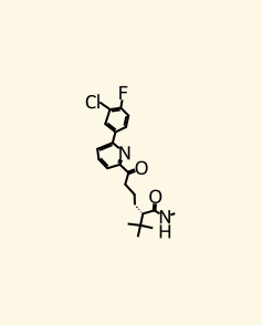 CNC(=O)[C@@H](CCCC(=O)c1cccc(-c2ccc(F)c(Cl)c2)n1)C(C)(C)C